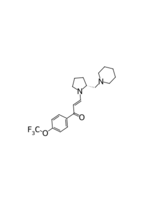 O=C(/C=C/N1CCC[C@@H]1CN1CCCCC1)c1ccc(OC(F)(F)F)cc1